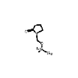 C[SiH](OCN1CCCC1=O)C(C)(C)C